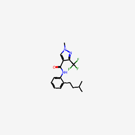 CC(C)CCc1ccccc1NC(=O)c1cn(C)nc1C(F)(F)F